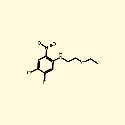 CCOCCNc1cc(F)c(Cl)cc1[N+](=O)[O-]